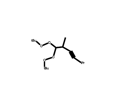 CC(C)C#CC(C)C(OOC(C)(C)C)OOC(C)(C)C